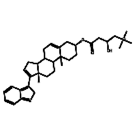 C[C@]12CC[C@H](OC(=O)CC(O)C[N+](C)(C)C)CC1=CCC1C2CC[C@]2(C)C(C3=c4ccccc4=NC3)=CCC12